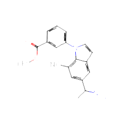 CCCOC(=O)c1cccc(-n2ccc3cc(C(C)N)cc(C#N)c32)c1